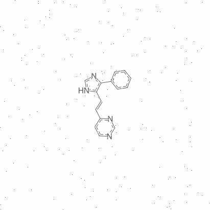 C(=Cc1[nH]cnc1-c1ccccc1)c1ccncn1